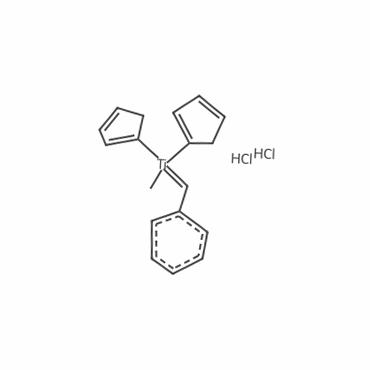 Cl.Cl.[CH3][Ti](=[CH]c1ccccc1)([C]1=CC=CC1)[C]1=CC=CC1